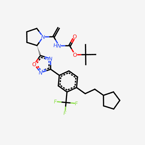 C=C(NC(=O)OC(C)(C)C)N1CCC[C@H]1c1nc(-c2ccc(CCC3CCCC3)c(C(F)(F)F)c2)no1